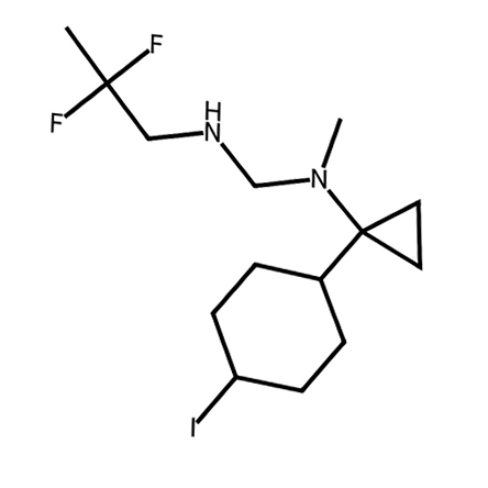 CN(CNCC(C)(F)F)C1(C2CCC(I)CC2)CC1